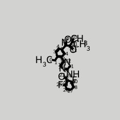 CCc1ccc(C2=NOC(C)(C)C2=O)cc1-c1cnc(NC(=O)c2c(F)cccc2F)cn1